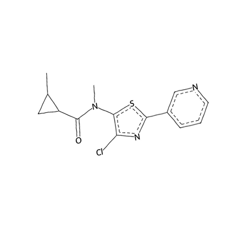 CC1CC1C(=O)N(C)c1sc(-c2cccnc2)nc1Cl